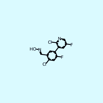 ON=Cc1cc(-c2cc(F)cnc2Cl)c(F)cc1Cl